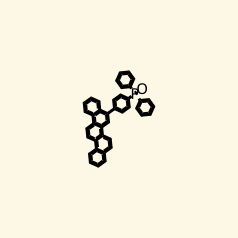 O=P(c1ccccc1)(c1ccccc1)c1ccc(-c2cc3c(ccc4c5ccccc5ccc43)c3ccccc23)cc1